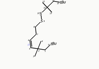 CC(C)(C)CC(C)(C)/C=C\CCSSC(C)(C)CC(C)(C)C